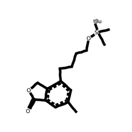 Cc1cc(CCCCO[Si](C)(C)C(C)(C)C)c2c(c1)C(=O)OC2